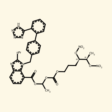 CCCc1nc2cccc(C(=O)OC(C)OC(=O)OCCC[C@@H](O[N+](=O)[O-])[C@@H](C)O[N+](=O)[O-])c2n1Cc1ccc(-c2ccccc2-c2nnn[nH]2)cc1